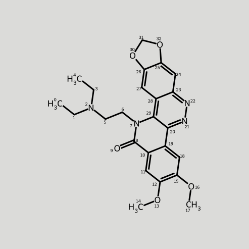 CCN(CC)CCn1c(=O)c2cc(OC)c(OC)cc2c2nnc3cc4c(cc3c21)OCO4